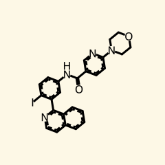 O=C(Nc1ccc(I)c(-c2nccc3ccccc23)c1)c1ccc(N2CCOCC2)nc1